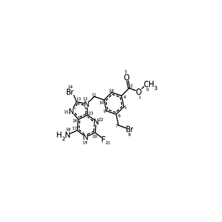 COC(=O)c1cc(CBr)cc(Cn2c(Br)nc3c(N)nc(F)nc32)c1